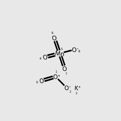 O=[O+][O-].[K+].[O]=[Mn](=[O])(=[O])[O-]